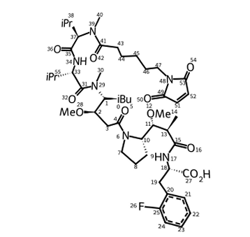 CC[C@H](C)[C@H]([C@@H](CC(=O)N1CCC[C@H]1[C@H](OC)[C@@H](C)C(=O)N[C@@H](Cc1ccccc1F)C(=O)O)OC)N(C)C(=O)[C@@H](NC(=O)[C@@H](C(C)C)N(C)C(=O)CCCCCN1C(=O)C=CC1=O)C(C)C